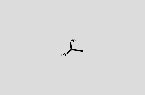 C[C](C)C(C)C(C)C